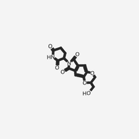 O=C1CCC(N2C(=O)c3cc4c(cc3C2=O)OC(CO)CO4)C(=O)N1